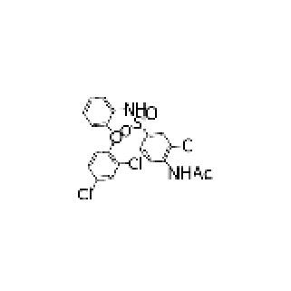 CC(=O)Nc1ccc(S(=O)(=O)Nc2ccccc2Oc2ccc(Cl)cc2Cl)cc1Cl